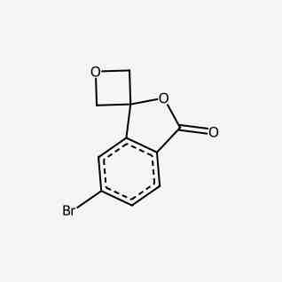 O=C1OC2(COC2)c2cc(Br)ccc21